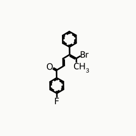 CC(Br)=C(C=CC(=O)c1ccc(F)cc1)c1ccccc1